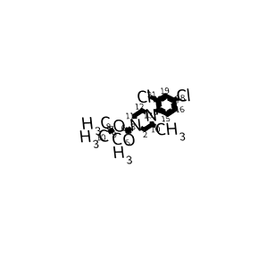 CC1CN(C(=O)OC(C)(C)C)CCN1c1ccc(Cl)cc1Cl